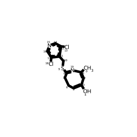 CC1=C/C(O)=C\CC/C(SCc2c(Cl)cncc2Cl)=N\1